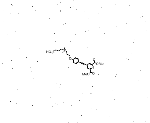 COC(=O)c1cc(C#Cc2ccc(OCCC[N+](C)(C)CCCS(=O)(=O)O)cc2)cc(C(=O)OC)n1